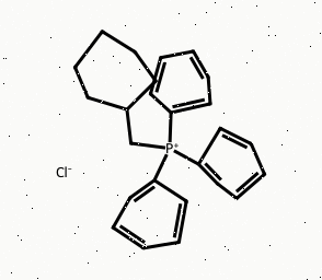 [Cl-].c1ccc([P+](CC2CCCCC2)(c2ccccc2)c2ccccc2)cc1